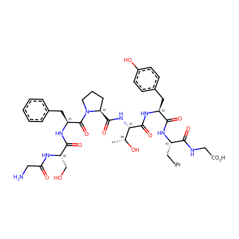 CC(C)C[C@H](NC(=O)[C@H](Cc1ccc(O)cc1)NC(=O)[C@@H](NC(=O)[C@@H]1CCCN1C(=O)[C@H](Cc1ccccc1)NC(=O)[C@H](CO)NC(=O)CN)[C@@H](C)O)C(=O)NCC(=O)O